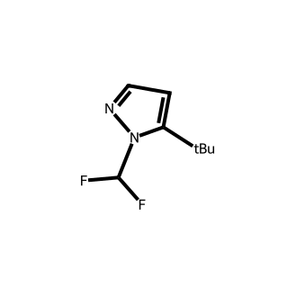 CC(C)(C)c1ccnn1C(F)F